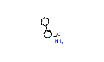 NC(=O)c1cccc(-c2ccccc2)c1